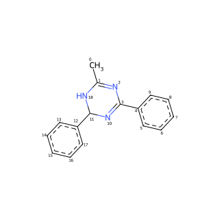 CC1=NC(c2ccccc2)=NC(c2ccccc2)N1